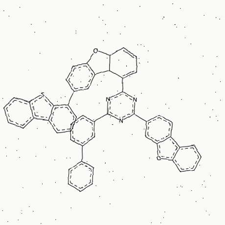 C1=CC2Oc3ccc(-c4cccc5c4sc4ccccc45)cc3C2C(c2nc(-c3cccc(-c4ccccc4)c3)nc(-c3ccc4c(c3)oc3ccccc34)n2)=C1